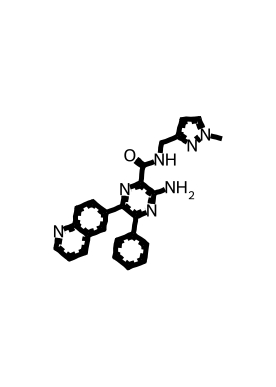 Cn1ccc(CNC(=O)c2nc(-c3ccc4ncccc4c3)c(-c3ccccc3)nc2N)n1